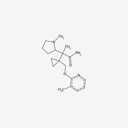 Cc1cccnc1OCC1(C(C)(C(N)=O)C2CCCN2C)CC1